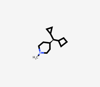 CN1CCC([C@H](C2CCC2)C2CC2)CC1